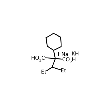 CCC(CC)C(C(=O)O)(C(=O)O)C1CCCCC1.[KH].[NaH]